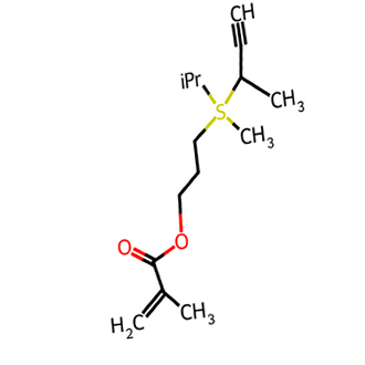 C#CC(C)S(C)(CCCOC(=O)C(=C)C)C(C)C